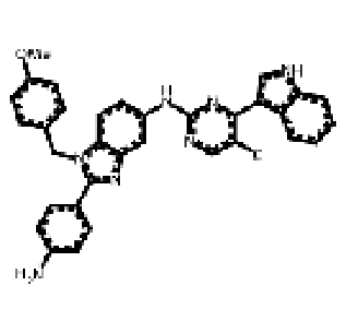 COc1ccc(Cn2c(-c3ccc(N)cc3)nc3cc(Nc4ncc(Cl)c(-c5c[nH]c6ccccc56)n4)ccc32)cc1